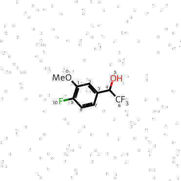 COc1cc(C(O)C(F)(F)F)ccc1F